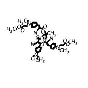 CCOC(=O)CCN(CC)c1ccc(/C=C(\C#N)C(=O)OCC(C)(COC(=O)/C(C#N)=C/c2ccc(N(CC)CC)cc2)COC(=O)/C(C#N)=C/c2ccc(N(CC)CCC(=O)OC)cc2)cc1